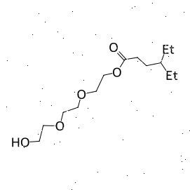 CCC(CC)CCC(=O)OCCOCCOCCO